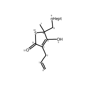 C=CCC1=C(O)C(C)(CCCCCCCC)SC1=O